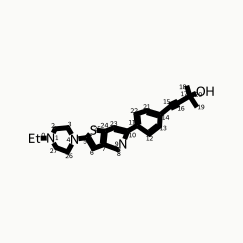 CCN1CCN(c2cc3cnc(-c4ccc(C#CC(C)(C)O)cc4)cc3s2)CC1